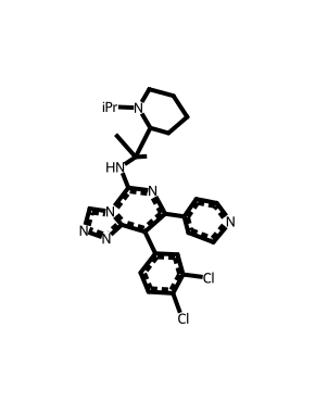 CC(C)N1CCCCC1C(C)(C)Nc1nc(-c2ccncc2)c(-c2ccc(Cl)c(Cl)c2)c2nncn12